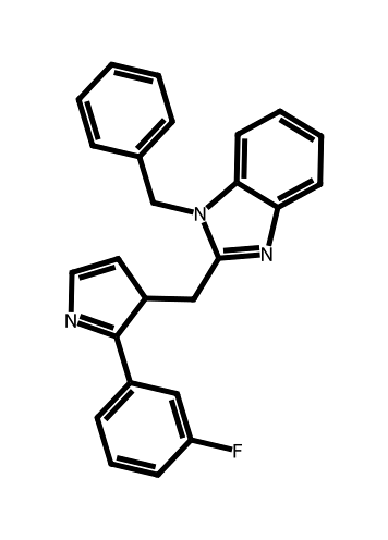 Fc1cccc(C2=NC=CC2Cc2nc3ccccc3n2Cc2ccccc2)c1